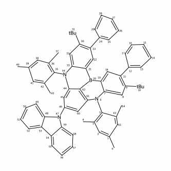 Cc1cc(C)c(N2c3cc(C(C)(C)C)c(-c4ccccc4)cc3B3c4cc(-c5ccccc5)c(C(C)(C)C)cc4N(c4c(C)cc(C)cc4C)c4cc(-n5c6ccccc6c6ccccc65)cc2c43)c(C)c1